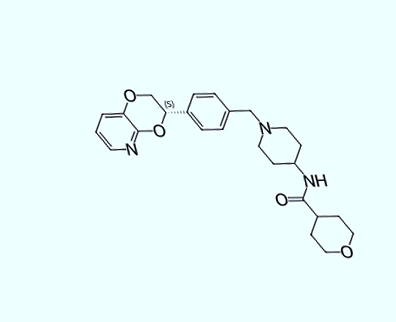 O=C(NC1CCN(Cc2ccc([C@H]3COc4cccnc4O3)cc2)CC1)C1CCOCC1